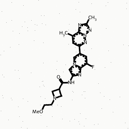 COCCN1CC(C(=O)Nc2cn3cc(-c4cc(C)c5nc(C)nn5n4)cc(F)c3n2)C1